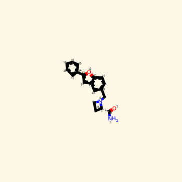 NC(=O)[C@@H]1CCN1Cc1ccc2oc(-c3ccccc3)cc2c1